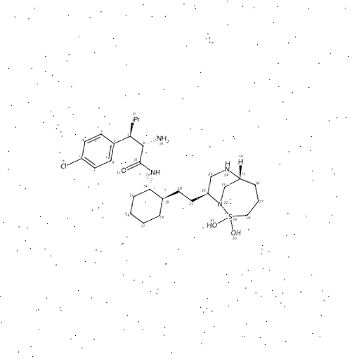 CC(C)[C@H](c1ccc(Cl)cc1)[C@H](N)C(=O)N[C@H]1CCCC[C@@H]1CC[C@H]1CN[C@@H]2CCCS(O)(O)N1C2